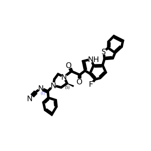 C[C@H]1CN(/C(=N/C#N)c2ccccc2)CCN1C(=O)C(=O)c1c[nH]c2c(-c3cc4ccccc4s3)ccc(F)c12